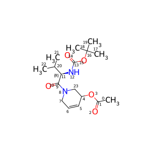 CC(=O)OC1C=CCN(C(=O)[C@H](NC(=O)OC(C)(C)C)C(C)C)C1